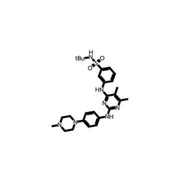 Cc1nc(Nc2ccc(N3CCN(C)CC3)cc2)nc(Nc2cccc(S(=O)(=O)NC(C)(C)C)c2)c1C